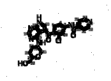 O=C(Nc1ccc(C(=O)c2c[nH]c3ncnc(N[C@H]4CC[C@H](CO)OC4)c23)c(Cl)c1)c1ccncc1